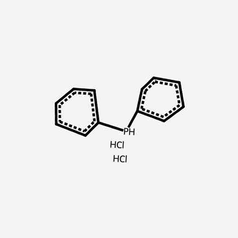 Cl.Cl.c1ccc(Pc2ccccc2)cc1